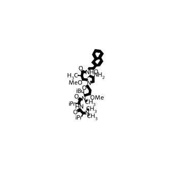 CC[C@H](C)[C@@H]([C@@H](CC(=O)N1C[C@@H](N)C[C@H]1[C@H](OC)[C@@H](C)C(=O)NCC(=O)c1ccc2ccccc2c1)OC)N(C)C(=O)[C@@H](NC(=O)[C@H](C(C)C)N(C)C)C(C)C